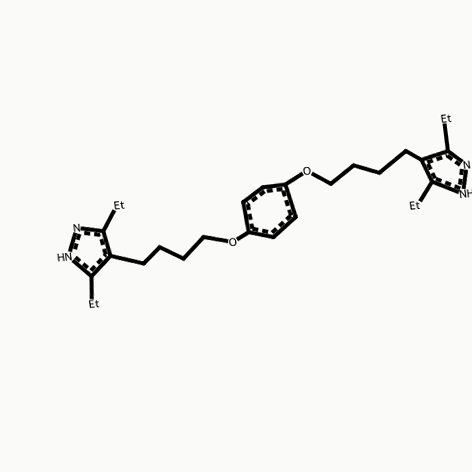 CCc1n[nH]c(CC)c1CCCCOc1ccc(OCCCCc2c(CC)n[nH]c2CC)cc1